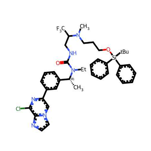 CCN(C(=O)NCC(N(C)CCCO[Si](c1ccccc1)(c1ccccc1)C(C)(C)C)C(F)(F)F)[C@H](C)c1cccc(-c2cn3ccnc3c(Cl)n2)c1